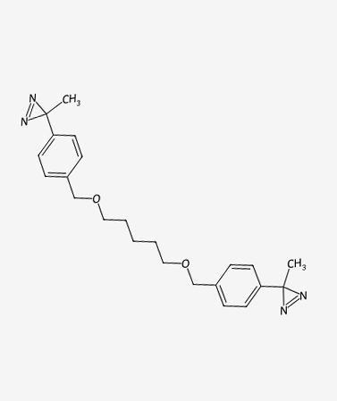 CC1(c2ccc(COCCCCCOCc3ccc(C4(C)N=N4)cc3)cc2)N=N1